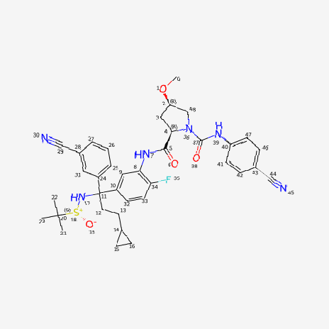 CO[C@@H]1C[C@H](C(=O)Nc2cc(C(CCC3CC3)(N[S@+]([O-])C(C)(C)C)c3cccc(C#N)c3)ccc2F)N(C(=O)Nc2ccc(C#N)cc2)C1